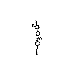 N#C/C=C/C1CCC(OC(=O)[C@H]2CC[C@H](c3ccc(C#N)c(F)c3)CC2)CC1